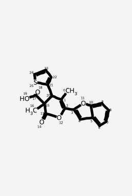 CC1=C(c2cc3ccccc3o2)OC(=O)C(C)(C(=O)O)C1c1cccs1